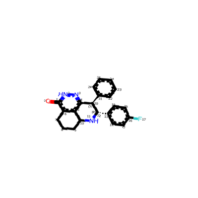 O=c1[nH]nc2c3c1CCCC3N[C@@H](c1ccc(F)cc1)[C@@H]2c1ccccc1